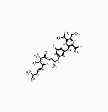 CCc1nc(C(N)=O)c(Nc2cc(F)cc(O[C@@H](C)CNC(=O)[C@H](C)N(C)C(=O)/C=C/CN(C)C)c2)nc1N(C)C